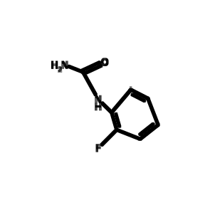 NC(=O)Nc1[c]cccc1F